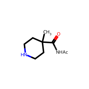 CC(=O)NC(=O)C1(C)CCNCC1